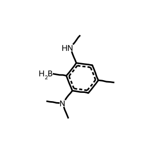 Bc1c(NC)cc(C)cc1N(C)C